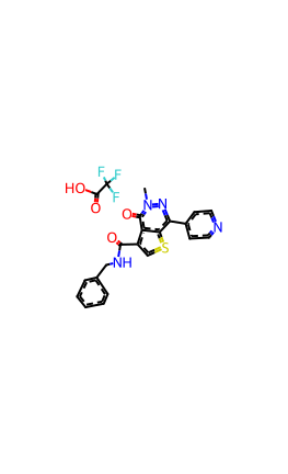 Cn1nc(-c2ccncc2)c2scc(C(=O)NCc3ccccc3)c2c1=O.O=C(O)C(F)(F)F